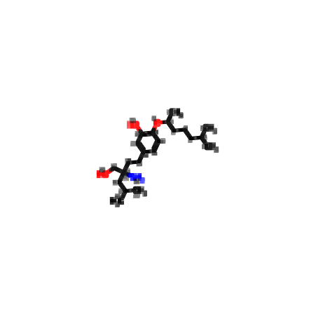 CC(C)CCCC(C)Oc1ccc(CC[C@@](N)(CO)CC(C)C)cc1O